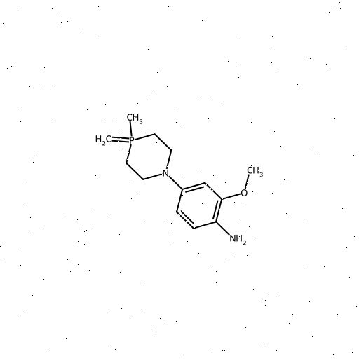 C=P1(C)CCN(c2ccc(N)c(OC)c2)CC1